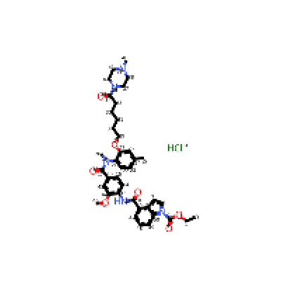 CCOC(=O)n1ccc2c(C(=O)Nc3ccc(C(=O)N(C)c4ccc(C)cc4OCCCCCC(=O)N4CCN(C)CC4)cc3OC)cccc21.Cl